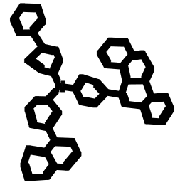 c1ccc(-c2ccc(N(c3ccc(-c4cc5ccccc5c5ccc6ccccc6c45)cc3)c3cccc(-c4cccc5ccccc45)c3)cc2)cc1